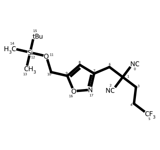 [C-]#[N+]C(C#N)(CCC(F)(F)F)Cc1cc(CO[Si](C)(C)C(C)(C)C)on1